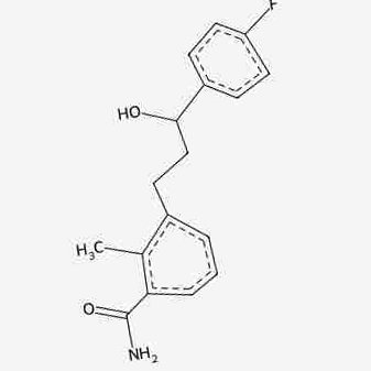 Cc1c(CCC(O)c2ccc(F)cc2)cccc1C(N)=O